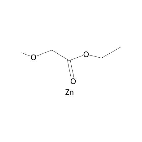 CCOC(=O)COC.[Zn]